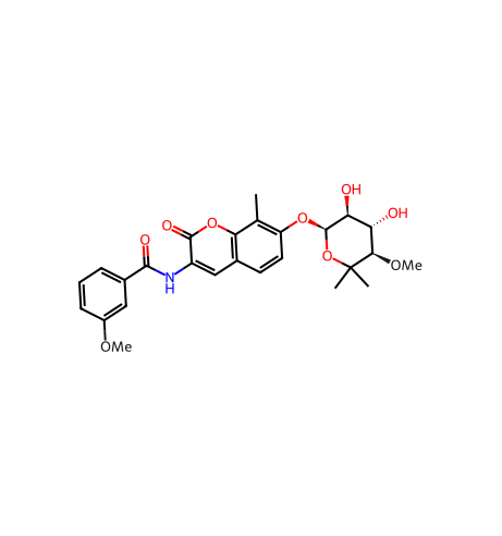 COc1cccc(C(=O)Nc2cc3ccc(O[C@@H]4OC(C)(C)[C@H](OC)[C@@H](O)[C@@H]4O)c(C)c3oc2=O)c1